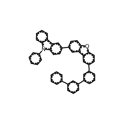 c1ccc(-c2cccc(-c3cccc(-c4ccc5oc6ccc(-c7ccc8c(c7)c7ccccc7n8-c7ccccc7)cc6c5c4)c3)c2)cc1